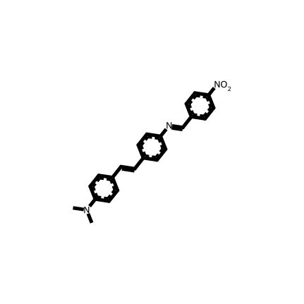 CN(C)c1ccc(C=Cc2ccc(N=Cc3ccc([N+](=O)[O-])cc3)cc2)cc1